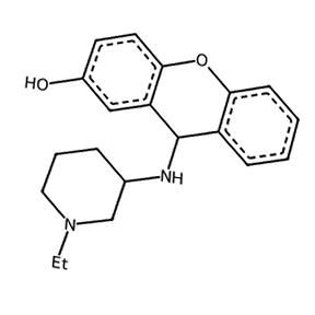 CCN1CCCC(NC2c3ccccc3Oc3ccc(O)cc32)C1